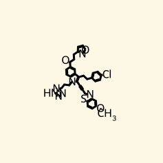 COc1ccc2sc(C#Cc3c(CCc4ccc(Cl)cc4)c4cc(C(=O)CCc5ccon5)ccc4n3CCc3nn[nH]n3)nc2c1